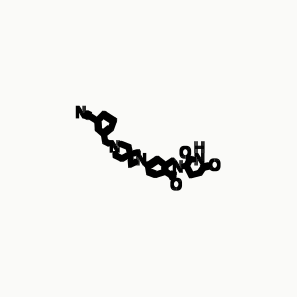 N#Cc1cccc(CN2CCC3(CC2)CN(c2ccc4c(c2)CN(C2CCC(=O)NC2=O)C4=O)C3)c1